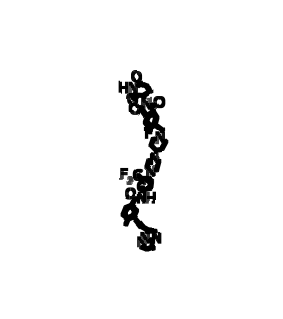 Cc1ccc(C(=O)Nc2ccc(N3CCN(C4CCN(Cc5cc6c(cc5F)C(=O)N(C5CCC(=O)NC5=O)C6=O)CC4)CC3)c(C(F)(F)F)c2)cc1C#Cc1cnc2cccnn12